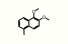 [CH2]c1cccc2c(OC)c(OC)ccc12